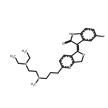 CCN(CC)CCN(C)CCCc1ccc2c(n1)CO/C2=C1/C(=O)Nc2ccc(F)cc21